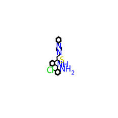 Nc1cccc(Cl)c1C1NC(=S)C(CCN2CCN(c3ccccc3)CC2)c2ccccc21